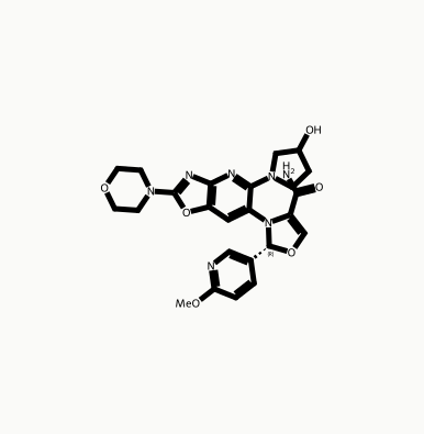 COc1ccc([C@H]2OC=C(C(N)=O)N2c2cc3oc(N4CCOCC4)nc3nc2N2CCC(O)C2)cn1